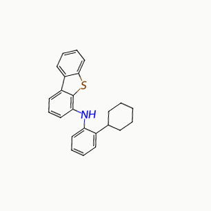 c1ccc(C2CCCCC2)c(Nc2cccc3c2sc2ccccc23)c1